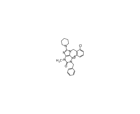 Cn1c(=O)n(Cc2ccccc2)c(=O)c2c1nc(N1CCCCC1)n2Cc1c(F)cccc1Cl